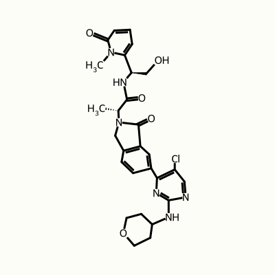 C[C@H](C(=O)N[C@H](CO)c1cccc(=O)n1C)N1Cc2ccc(-c3nc(NC4CCOCC4)ncc3Cl)cc2C1=O